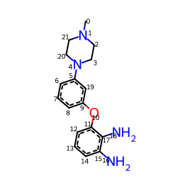 CN1CCN(c2cccc(Oc3cccc(N)c3N)c2)CC1